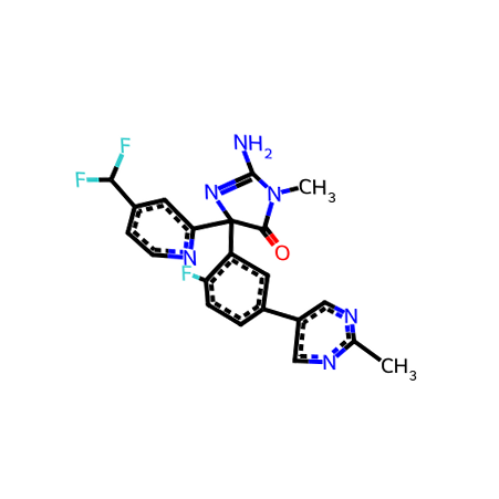 Cc1ncc(-c2ccc(F)c(C3(c4cc(C(F)F)ccn4)N=C(N)N(C)C3=O)c2)cn1